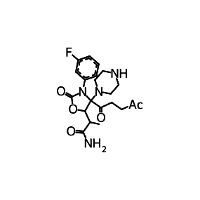 CC(=O)CCC(=O)C1(N2CCNCC2)C(C(C)C(N)=O)OC(=O)N1c1cccc(F)c1